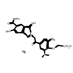 Br.CNC(=O)c1cc2c(cc1OC)CN(CC(=O)c1cc(N(C)C)c(OCC(=O)O)c(C(C)(C)C)c1)C2=N